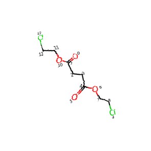 O=C(CCC(=O)OCCCl)OCCCl